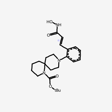 CC(C)(C)OC(=O)N1CCCCC12CCN(c1ccccc1/C=C/C(=O)NO)CC2